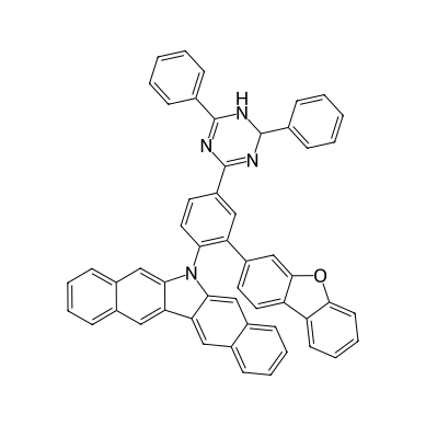 c1ccc(C2=NC(c3ccc(-n4c5cc6ccccc6cc5c5cc6ccccc6cc54)c(-c4ccc5c(c4)oc4ccccc45)c3)=NC(c3ccccc3)N2)cc1